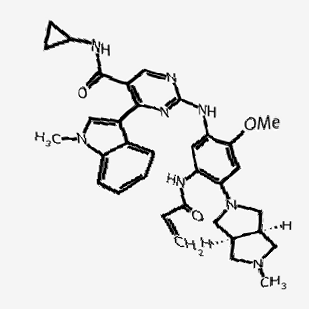 C=CC(=O)Nc1cc(Nc2ncc(C(=O)NC3CC3)c(-c3cn(C)c4ccccc34)n2)c(OC)cc1N1C[C@H]2CN(C)C[C@H]2C1